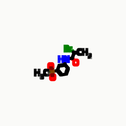 C=C(Br)C(=O)Nc1cccc(S(C)(=O)=O)c1